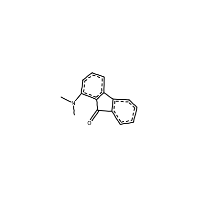 CN(C)c1cccc2c1C(=O)c1ccccc1-2